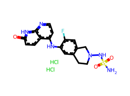 Cl.Cl.NS(=O)(=O)NN1CCc2cc(Nc3ccnc4[nH]c(=O)ccc34)c(F)cc2C1